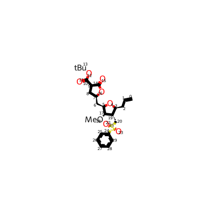 C=CC[C@@H]1O[C@H](C[C@H]2CC(C(=O)OC(C)(C)C)C(=O)O2)[C@H](OC)[C@H]1CS(=O)(=O)c1ccccc1